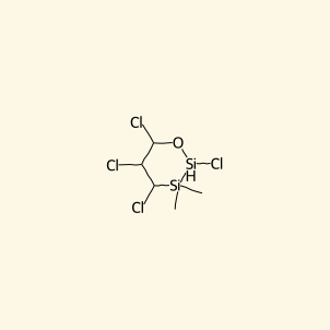 C[Si]1(C)C(Cl)C(Cl)C(Cl)O[SiH]1Cl